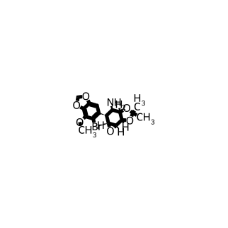 COc1c(Br)c([C@@H]2[C@@H](N)[C@@H]3OC(C)(C)O[C@@H]3[C@H]3O[C@H]32)cc2c1OCO2